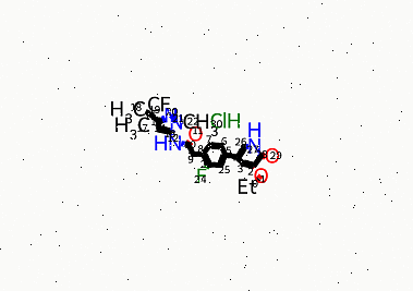 CCOc1cc(-c2ccc(CC(=O)Nc3cc(C(C)(C)C(F)(F)F)nn3C)c(F)c2)c[nH]c1=O.Cl